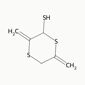 C=C1CSC(=C)C(S)S1